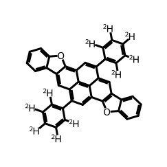 [2H]c1c([2H])c([2H])c(-c2cc3c4oc5ccccc5c4cc4c(-c5c([2H])c([2H])c([2H])c([2H])c5[2H])cc5c6oc7ccccc7c6cc2c5c43)c([2H])c1[2H]